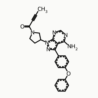 CC#CC(=O)N1CCC(n2nc(-c3ccc(Oc4ccccc4)cc3)c3c(N)ncnc32)C1